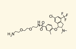 Cc1cc(S(=O)(=O)NCCOCCOCCN)ccc1O[C@H]1c2cc(Cl)cc(C(F)(F)F)c2C[C@@H]1N(C)C